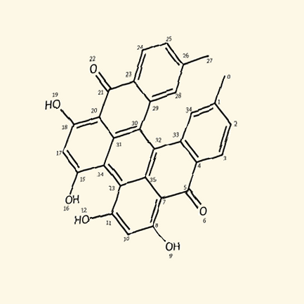 Cc1ccc2c(=O)c3c(O)cc(O)c4c5c(O)cc(O)c6c(=O)c7ccc(C)cc7c(c65)c(c2c1)c34